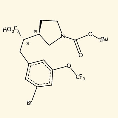 CC(C)(C)OC(=O)N1CC[C@H]([C@H](Cc2cc(Br)cc(OC(F)(F)F)c2)C(=O)O)C1